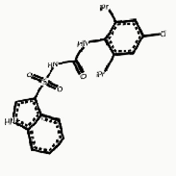 CC(C)c1cc(Cl)cc(C(C)C)c1NC(=O)NS(=O)(=O)c1c[nH]c2ccccc12